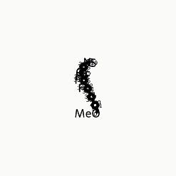 COCC1CCC(c2ccc(-c3ccc(-c4cc(F)c(C(F)(F)Oc5ccc(N=C=S)cc5)c(F)c4)c(F)c3)cc2)CC1